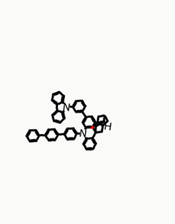 c1ccc(-c2ccc(-c3ccc(N(c4cccc(-c5cccc(-n6c7ccccc7c7ccccc76)c5)c4)c4ccccc4C45CC6CC7CC6(C4)[C@H]7C5)cc3)cc2)cc1